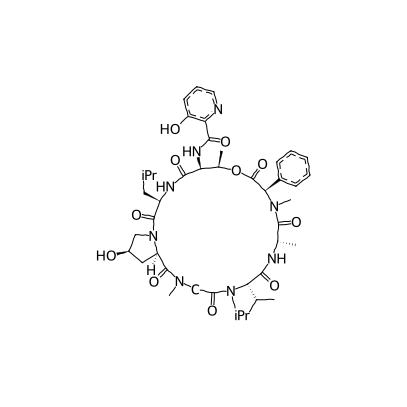 CC(C)C[C@H]1NC(=O)[C@@H](NC(=O)c2ncccc2O)[C@@H](C)OC(=O)[C@@H](c2ccccc2)N(C)C(=O)[C@H](C)NC(=O)[C@H](C(C)C(C)C)N(C)C(=O)CN(C)C(=O)[C@H]2C[C@@H](O)CN2C1=O